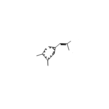 Cc1cc(C=C(C(=O)O)C(C)(C)C)sc1C=O